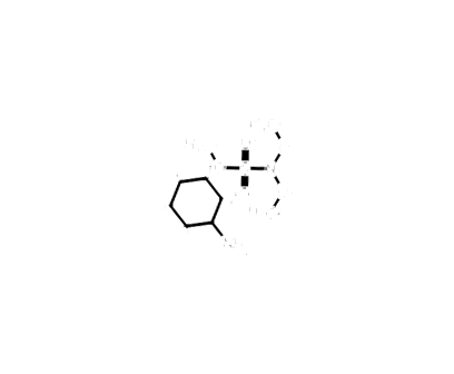 CON(OC)S(=O)(=O)OC.NC1CCCCC1